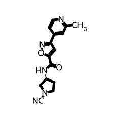 Cc1cc(-c2cc(C(=O)N[C@@H]3CCN(C#N)C3)on2)ccn1